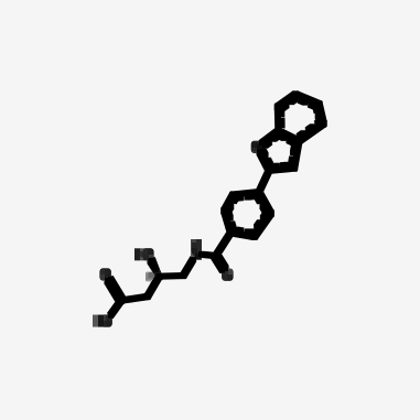 O=C(O)C[C@@H](O)CNC(=O)c1ccc(-c2cc3ccccc3o2)cc1